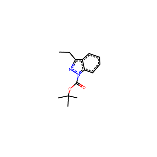 CCc1nn(C(=O)OC(C)(C)C)c2ccccc12